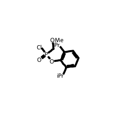 COCP(=O)(Cl)Oc1c(C(C)C)cccc1C(C)C